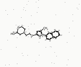 Cc1cc(OCCN2CCOC(O)C2)nn1-c1ccc2ccccc2c1